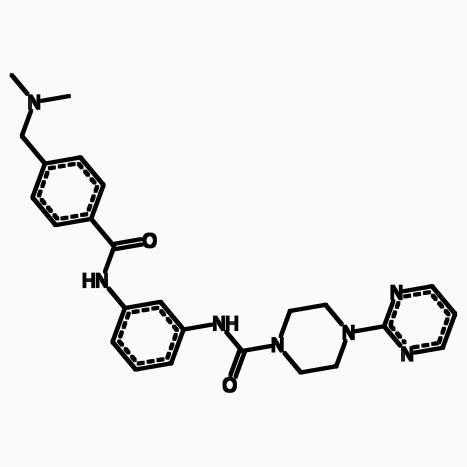 CN(C)Cc1ccc(C(=O)Nc2cccc(NC(=O)N3CCN(c4ncccn4)CC3)c2)cc1